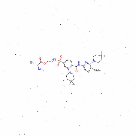 CCC(C)[C@@H](N)C(=O)OCCNS(=O)(=O)c1ccc(C(=O)Nc2ccc(OC)c(N3CCC(F)(F)CC3)n2)c(N2CCC3(CC2)CC3)c1